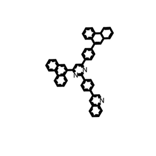 C1=CC2C=C(c3ccc(-c4cc(-c5cc6ccccc6c6ccccc56)nc(-c5ccc(-c6cnc7ccccc7c6)cc5)n4)cc3)c3ccccc3C2C=C1